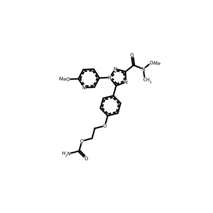 COc1ccc(-n2nc(C(=O)N(C)OC)nc2-c2ccc(OCCOC(N)=O)cc2)cn1